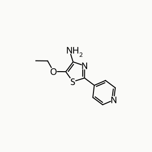 CCOc1sc(-c2ccncc2)nc1N